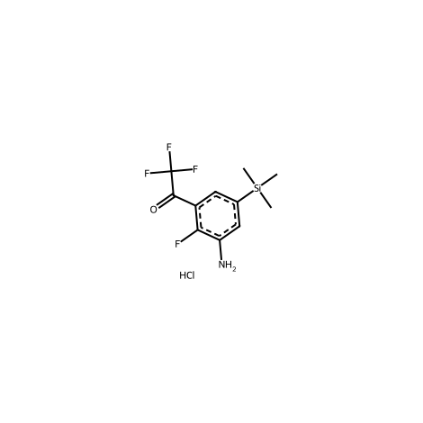 C[Si](C)(C)c1cc(N)c(F)c(C(=O)C(F)(F)F)c1.Cl